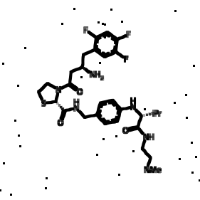 CNCCNC(=O)[C@H](Nc1ccc(CNC(=O)[C@@H]2SCCN2C(=O)C[C@H](N)Cc2cc(F)c(F)cc2F)cc1)C(C)C